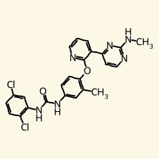 CNc1nccc(-c2cccnc2Oc2ccc(NC(=O)Nc3cc(Cl)ccc3Cl)cc2C)n1